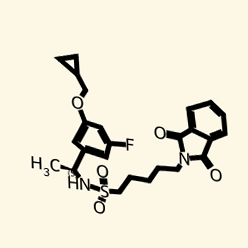 C[C@H](NS(=O)(=O)CCCCCN1C(=O)c2ccccc2C1=O)c1cc(F)cc(OCC2CC2)c1